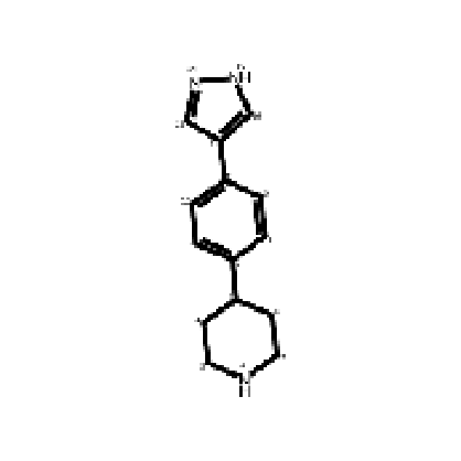 c1cc(C2CCNCC2)ccc1-c1cn[nH]c1